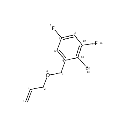 C=CCOCc1cc(F)cc(F)c1Br